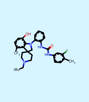 Cc1ccc(NC(=O)Nc2ccccc2N2CC3(CCN(CC(C)(C)C)CC3)c3c(C(F)(F)F)ccc(O)c32)cc1F